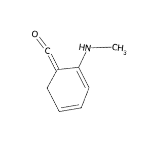 CNC1=CC=CCC1=C=O